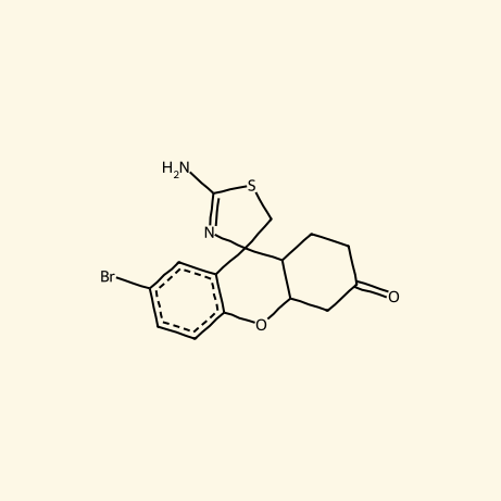 NC1=NC2(CS1)c1cc(Br)ccc1OC1CC(=O)CCC12